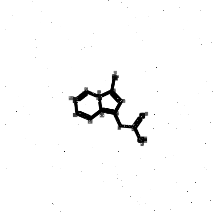 O=C(O)Cc1cc(Br)n2cnccc12